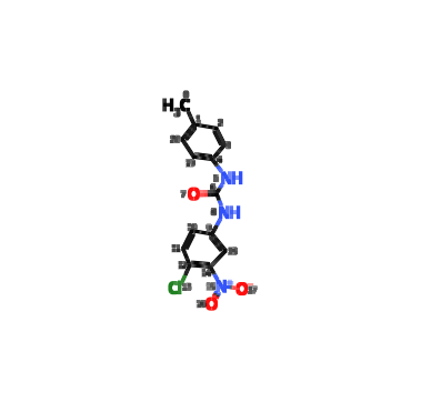 Cc1ccc(NC(=O)Nc2ccc(Cl)c([N+](=O)[O-])c2)cc1